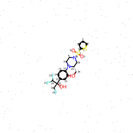 O=S(=O)(c1cccs1)N1CCN(c2ccc(C(O)(CF)C(F)F)cc2)[C@@H](CO)C1